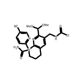 CCC(=O)NCc1cc2c(nc1C(OC)OC)[N+](C(N)=O)(c1ccc(C#N)cn1)CCC2